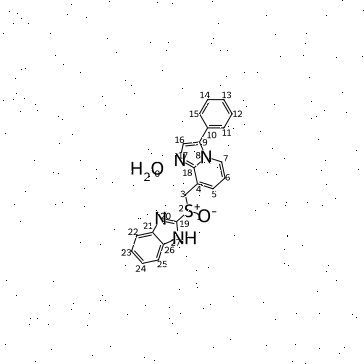 O.[O-][S+](Cc1cccn2c(-c3ccccc3)cnc12)c1nc2ccccc2[nH]1